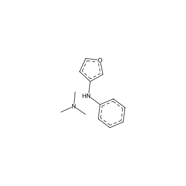 CN(C)C.c1ccc(Nc2ccoc2)cc1